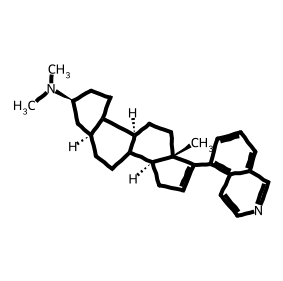 CN(C)[C@H]1CCC2[C@@H](CCC3[C@@H]2CC[C@]2(C)C(c4cccc5cnccc45)=CC[C@@H]32)C1